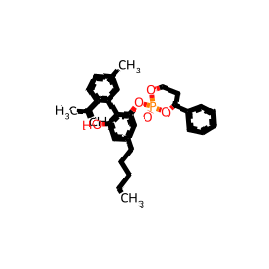 C=C(C)c1ccc(C)cc1-c1c(O)cc(CCCCC)cc1OP1(=O)OCCC(c2ccccc2)O1